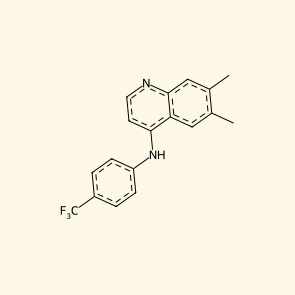 Cc1cc2nccc(Nc3ccc(C(F)(F)F)cc3)c2cc1C